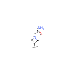 CC(C)C1CN(CC(N)=O)C1